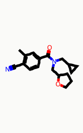 Cc1cc(C(=O)N(CC2CC2)CC2CCCO2)ccc1C#N